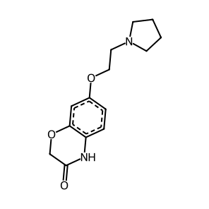 O=C1COc2cc(OCCN3CCCC3)ccc2N1